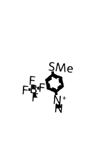 CSc1ccc([N+]#N)cc1.F[B-](F)(F)F